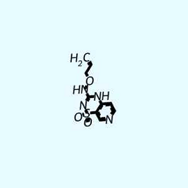 C=CCONC1=NS(=O)(=O)c2cnccc2N1